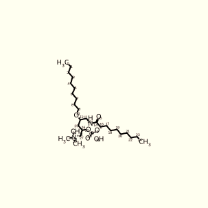 CCCCCCCCCCOC(CNC(=O)CCCCCCCCC)CC(C[N+](C)(C)C)OP(=O)([O-])O